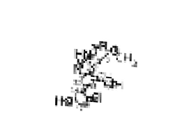 COc1ccc(Nc2nnc3cc(-c4cc(O)ccc4Cl)cc(C)c3n2)cn1.Cl